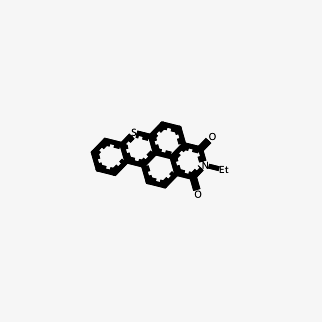 CCn1c(=O)c2ccc3sc4ccccc4c4ccc(c1=O)c2c34